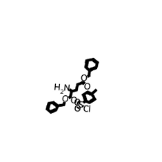 Cc1ccc(S(=O)(=O)Cl)cc1.NC(CCC(=O)OCc1ccccc1)C(=O)OCc1ccccc1